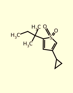 CCC(C)(C)C1=CC(C2CC2)=CS1(=O)=O